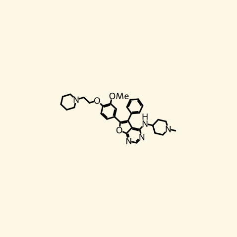 COc1cc(-c2oc3ncnc(NC4CCN(C)CC4)c3c2-c2ccccc2)ccc1OCCN1CCCCC1